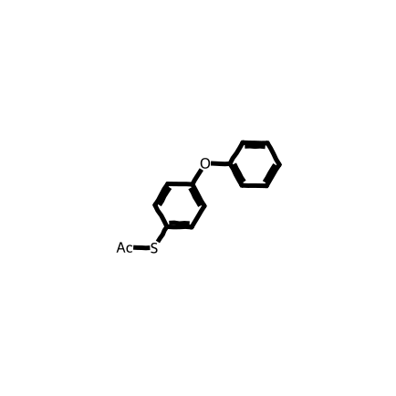 CC(=O)Sc1ccc(Oc2ccccc2)cc1